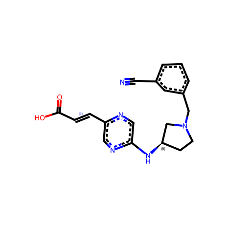 N#Cc1cccc(CN2CC[C@@H](Nc3cnc(/C=C/C(=O)O)cn3)C2)c1